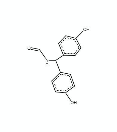 O=CNC(c1ccc(O)cc1)c1ccc(O)cc1